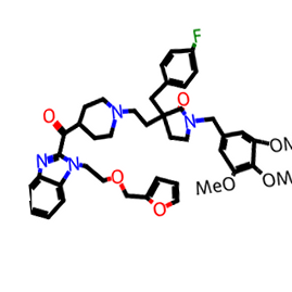 COc1cc(CN2CCC(CCN3CCC(C(=O)c4nc5ccccc5n4CCOCc4ccco4)CC3)(Cc3ccc(F)cc3)C2=O)cc(OC)c1OC